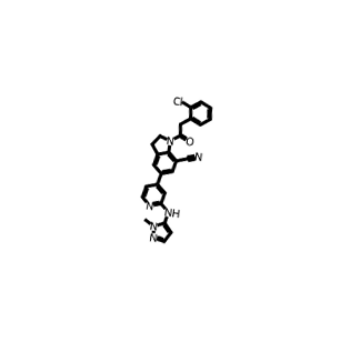 Cn1nccc1Nc1cc(-c2cc(C#N)c3c(c2)CCN3C(=O)Cc2ccccc2Cl)ccn1